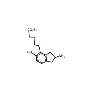 CCOC(=O)CCCOc1c(O)ccc2c1CC(N)C2